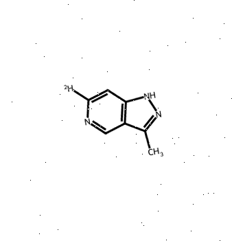 [2H]c1cc2[nH]nc(C)c2cn1